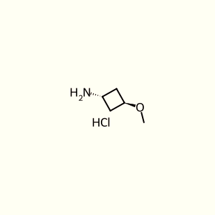 CO[C@H]1C[C@H](N)C1.Cl